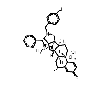 CN(Cc1ccccc1)C(=O)[C@@]12ON(Cc3ccc(Cl)cc3)C[C@@H]1C[C@H]1[C@@H]3C[C@H](F)C4=CC(=O)C=C[C@]4(C)[C@@]3(F)[C@@H](O)C[C@@]12C